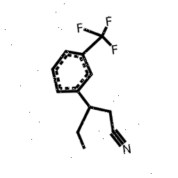 CCC(CC#N)c1cccc(C(F)(F)F)c1